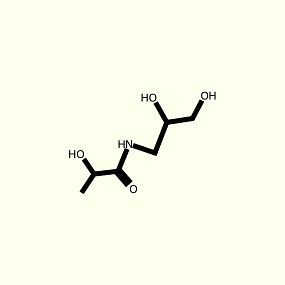 CC(O)C(=O)NCC(O)CO